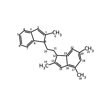 CC1=Cc2ccccc2C1CCC1C(C)=Cc2c(C)cc(C)cc21